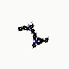 Cc1ccc(N(c2ccc(-c3ccccc3)cc2)c2ccc(-c3ccc(N(c4ccc(C)cc4)c4ccc(-c5ccccc5)cc4)cc3)cc2)cc1